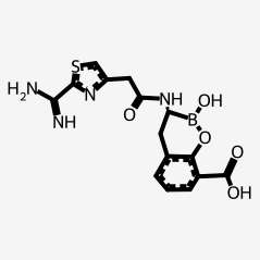 N=C(N)c1nc(CC(=O)N[C@H]2Cc3cccc(C(=O)O)c3OB2O)cs1